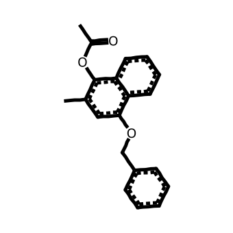 CC(=O)Oc1c(C)cc(OCc2ccccc2)c2ccccc12